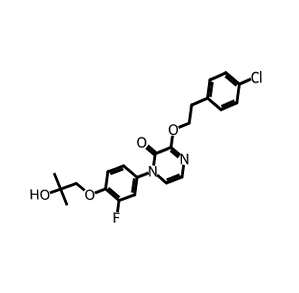 CC(C)(O)COc1ccc(-n2ccnc(OCCc3ccc(Cl)cc3)c2=O)cc1F